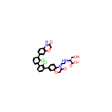 O=C1COc2cc(-c3cccc(-c4cccc(-c5ccc6c(c5)OCC(=O)N6CCN[C@@H](CO)C(=O)O)c4Cl)c3Cl)ccc2N1